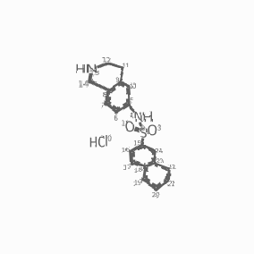 Cl.O=S(=O)(Nc1ccc2c(c1)CCNC2)c1ccc2ccccc2c1